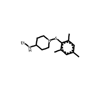 CCNC1CCN(Sc2c(C)cc(C)cc2C)CC1